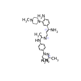 C=CN(/N=C(/C)N)c1ccc(NC(=C)/N=C\C=C(/N)c2ccc(N)c(N3CCN(C)CC3)c2)cc1